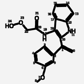 C=C(c1cccc(OC)c1)c1[nH]c2ccccc2c1NC(=O)COO